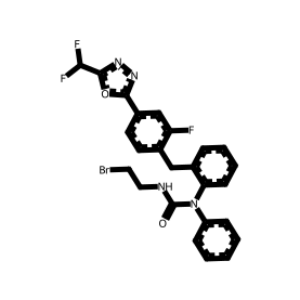 O=C(NCCBr)N(c1ccccc1)c1ccccc1Cc1ccc(-c2nnc(C(F)F)o2)cc1F